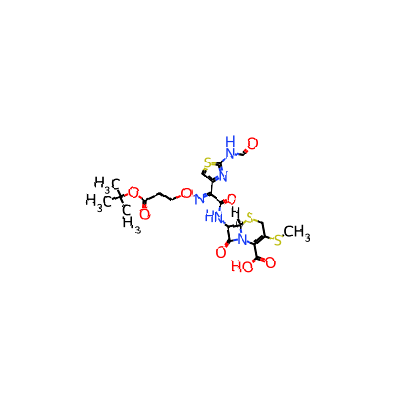 CSC1=C(C(=O)O)N2C(=O)C(NC(=O)C(=NOCCC(=O)OC(C)(C)C)c3csc(NC=O)n3)[C@@H]2SC1